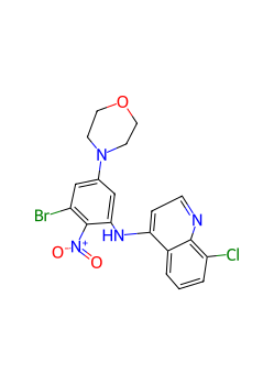 O=[N+]([O-])c1c(Br)cc(N2CCOCC2)cc1Nc1ccnc2c(Cl)cccc12